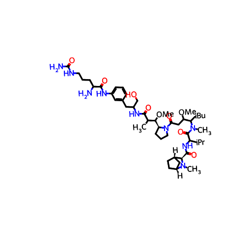 CCC(C)C(C(CC(=O)N1CCC[C@H]1C(OC)C(C)C(=O)NC(CO)Cc1cccc(NC(=O)C(N)CCCNC(N)=O)c1)OC)N(C)C(=O)C(NC(=O)[C@@H]1[C@H]2CC[C@H](C2)N1C)C(C)C